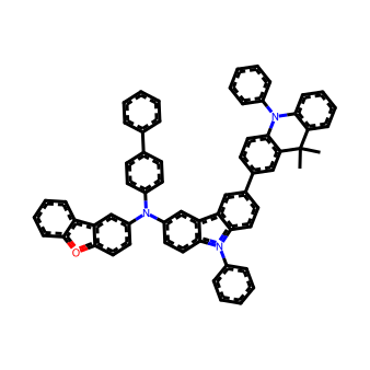 CC1(C)c2ccccc2N(c2ccccc2)c2ccc(-c3ccc4c(c3)c3cc(N(c5ccc(-c6ccccc6)cc5)c5ccc6oc7ccccc7c6c5)ccc3n4-c3ccccc3)cc21